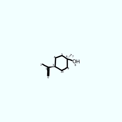 C=C(C)[C@H]1CC[C@@](C)(O)CC1